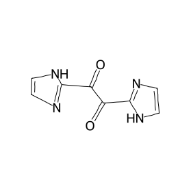 O=C(C(=O)c1ncc[nH]1)c1ncc[nH]1